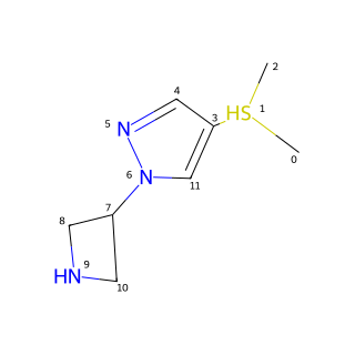 C[SH](C)c1cnn(C2CNC2)c1